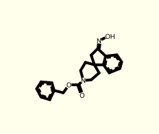 O=C(OCc1ccccc1)N1CCC2(CC1)C/C(=N/O)c1ccccc12